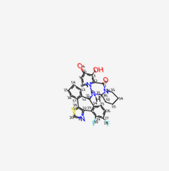 O=C1c2c(O)c(=O)ccn2N([C@@H]2c3ccccc3-c3scnc3-c3c2ccc(F)c3F)[C@@H]2CCCCN12